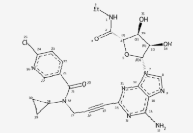 CCNC(=O)[C@H]1O[C@@H](n2cnc3c(N)nc(C#CCN(C(=O)c4ccc(Cl)nc4)C4CC4)nc32)[C@H](O)[C@@H]1O